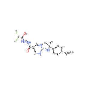 COc1ccc(C2(Nc3ncc(C(=O)NNC(=O)C(F)F)cn3)CC2)cc1